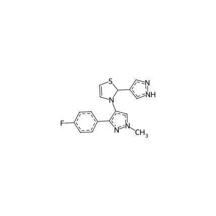 Cn1cc(N2C=CSC2c2cn[nH]c2)c(-c2ccc(F)cc2)n1